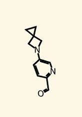 O=Cc1ccc(N2CC3(CC3)C2)cn1